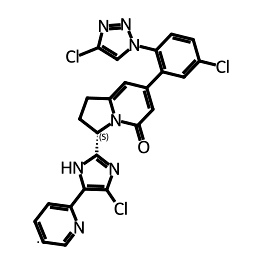 O=c1cc(-c2cc(Cl)ccc2-n2cc(Cl)nn2)cc2n1[C@H](c1nc(Cl)c(-c3cc[c]cn3)[nH]1)CC2